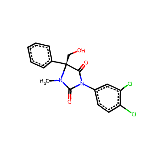 CN1C(=O)N(c2ccc(Cl)c(Cl)c2)C(=O)[C@@]1(CO)c1ccccc1